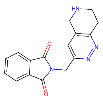 O=C1c2ccccc2C(=O)N1Cc1cc2c(nn1)CCNC2